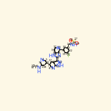 CC(C)Nc1cncc(-c2cnc3[nH]nc(-c4nc5c(-c6cc(F)cc(CNS(C)(=O)=O)c6)nccc5[nH]4)c3c2)c1